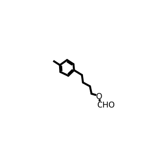 Cc1ccc(CCCCOC=O)cc1